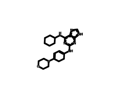 C1=C(Nc2nc(NC3CCCCC3)c3nc[nH]c3n2)CCC(N2CCOCC2)=C1